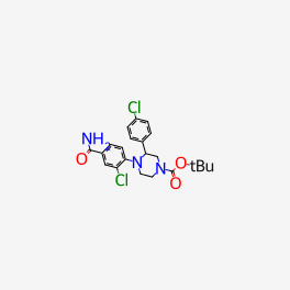 CC(C)(C)OC(=O)N1CCN(c2ccc(C(N)=O)cc2Cl)C(c2ccc(Cl)cc2)C1